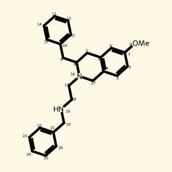 COc1ccc2c(c1)CC(Cc1ccccc1)N(CCNCc1ccccc1)C2